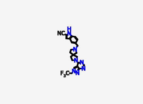 N#Cc1cc2cc(CN3CCC4(CCN(c5ncnc6nn(CC(F)(F)F)cc56)C4)C3)ccc2[nH]1